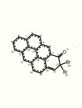 O=C1c2cc3ccc4cccc5cc6ccc(c2c6c3c45)=CC1(Br)Br